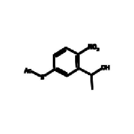 CC(=O)Sc1ccc([N+](=O)[O-])c(C(C)O)c1